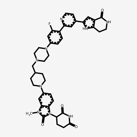 Cn1c(=O)n(C2CCC(=O)NC2=O)c2ccc(N3CCC(CN4CCN(c5ccc(-c6cc(-c7cc8c([nH]7)CCNC8=O)ccn6)c(F)c5)CC4)CC3)cc21